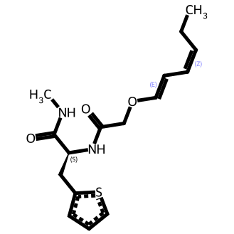 CC/C=C\C=C\OCC(=O)N[C@@H](Cc1cccs1)C(=O)NC